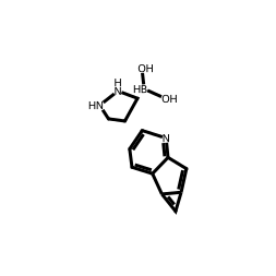 C1CNNC1.OBO.c1cnc2cc3cc-3c2c1